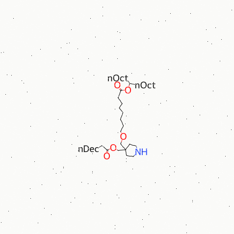 CCCCCCCCCCCC(=O)OCC1(COCCCCCCCC(=O)OC(CCCCCCCC)CCCCCCCC)CCNCC1